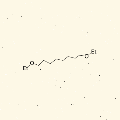 CCOCCCCCCCCOCC